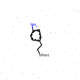 CCCCCCCc1ccc(N)cc1